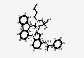 CCCCN(CC(F)(F)F)C(=O)C1c2ccccc2-c2cccc(-n3ccc4c(NC(=O)c5ccccc5)cccc43)c21